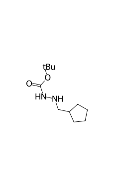 CC(C)(C)OC(=O)NNCC1CCCC1